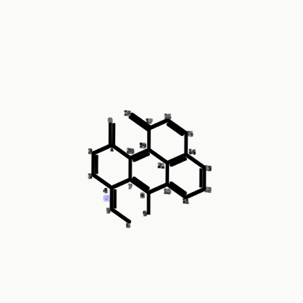 C=c1cc/c(=C/C)c2c(C)c3cccc4ccc(=C)c(c12)c43